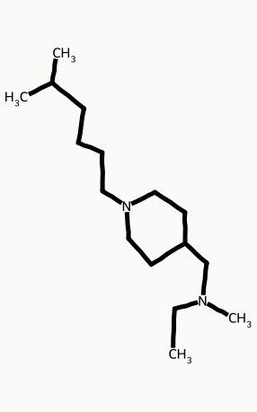 CCN(C)CC1CCN(CCCCC(C)C)CC1